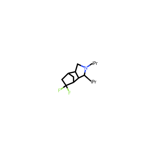 CC(C)C1C2C(CN1C(C)C)C1CC2C(F)(F)C1